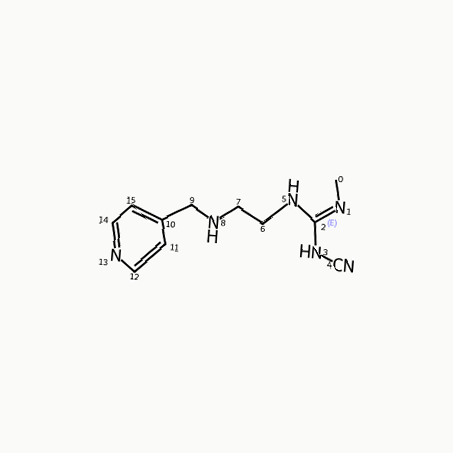 C/N=C(/NC#N)NCCNCc1ccncc1